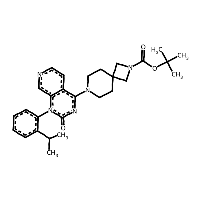 CC(C)c1ccccc1-n1c(=O)nc(N2CCC3(CC2)CN(C(=O)OC(C)(C)C)C3)c2ccncc21